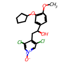 COc1ccc(C(O)Cc2c(Cl)c[n+]([O-])cc2Cl)cc1OC1CCCC1